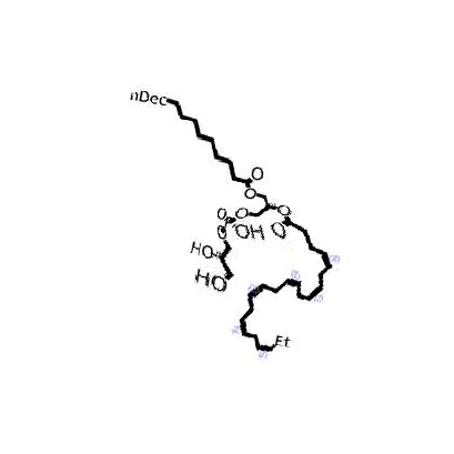 CC/C=C\C/C=C\C/C=C\C/C=C\C/C=C\C/C=C\CCC(=O)O[C@H](COC(=O)CCCCCCCCCCCCCCCCCC)COP(=O)(O)OC[C@@H](O)CO